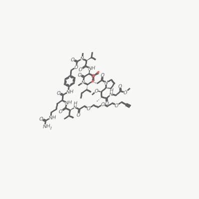 C#CCOCCOCCOCC(=O)N[C@H](C(=O)NC(CCCNC(N)=O)C(=O)Nc1ccc(COC(=O)N(C)[C@H](C(=O)N[C@H](C(=O)N(C)[C@@H](C(C)CC)[C@@H](CC(=O)N2CCC[C@H]2[C@H](OC)[C@@H](C)C(=O)NCC(=O)OC)OC)C(C)C)C(C)C)cc1)C(C)C